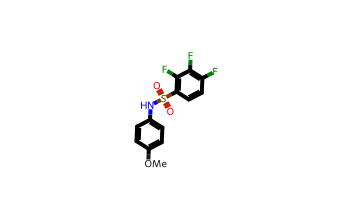 COc1ccc(NS(=O)(=O)c2ccc(F)c(F)c2F)cc1